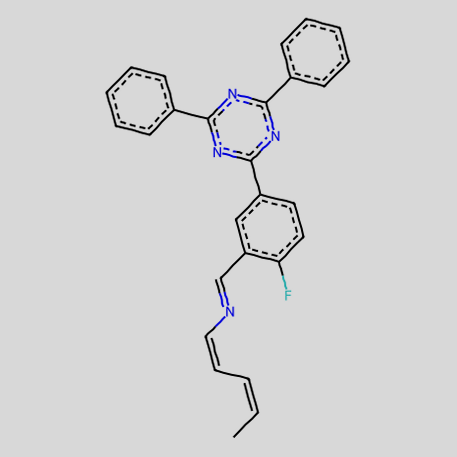 C\C=C/C=C\N=C\c1cc(-c2nc(-c3ccccc3)nc(-c3ccccc3)n2)ccc1F